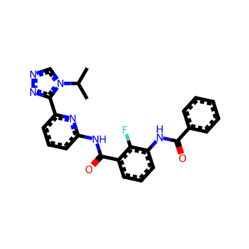 CC(C)n1cnnc1-c1cccc(NC(=O)c2cccc(NC(=O)c3ccccc3)c2F)n1